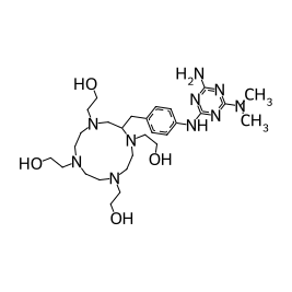 CN(C)c1nc(N)nc(Nc2ccc(CC3CN(CCO)CCN(CCO)CCN(CCO)CCN3CCO)cc2)n1